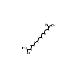 CCC(O)CCCCCCCCCCCC(O)F